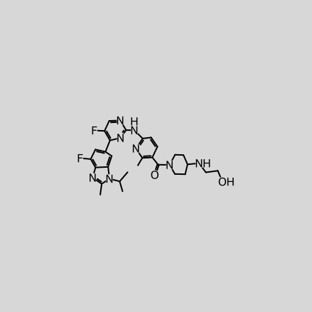 Cc1nc(Nc2ncc(F)c(-c3cc(F)c4nc(C)n(C(C)C)c4c3)n2)ccc1C(=O)N1CCC(NCCO)CC1